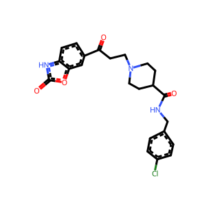 O=C(CCN1CCC(C(=O)NCc2ccc(Cl)cc2)CC1)c1ccc2[nH]c(=O)oc2c1